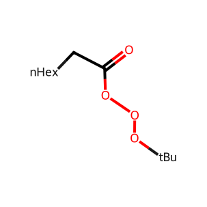 CCCCCCCC(=O)OOOC(C)(C)C